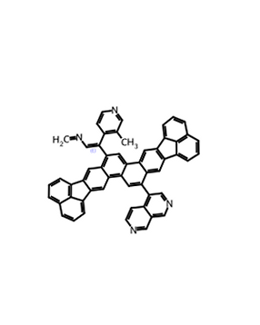 C=N/C=C(\c1ccncc1C)c1cc2c3cc4c(cc3c(-c3cncc5cnccc35)cc2c2cc3c(cc12)-c1cccc2cccc-3c12)-c1cccc2cccc-4c12